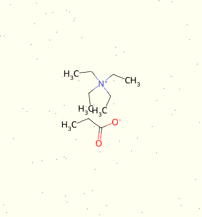 CCC(=O)[O-].CC[N+](CC)(CC)CC